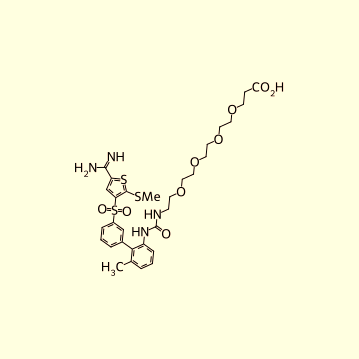 CSc1sc(C(=N)N)cc1S(=O)(=O)c1cccc(-c2c(C)cccc2NC(=O)NCCOCCOCCOCCOCCC(=O)O)c1